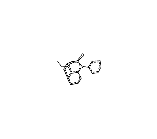 CCc1c2ccc3cccc(c13)n(-c1ccccc1)c2=O